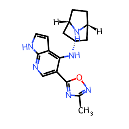 Cc1noc(-c2cnc3[nH]ccc3c2N[C@H]2C[C@H]3CC[C@@H](C2)N3)n1